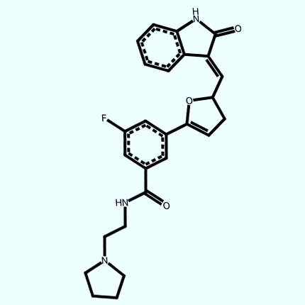 O=C1Nc2ccccc2/C1=C\C1CC=C(c2cc(F)cc(C(=O)NCCN3CCCC3)c2)O1